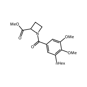 CCCCCCc1cc(C(=O)N2CCC2C(=O)OC)cc(OC)c1OC